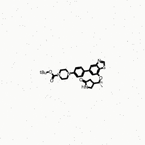 C[C@@H](Oc1cc(-c2ccc(N3CCN(C(=O)OC(C)(C)C)CC3)cc2)cc2ncsc12)C1CNC(=O)C1